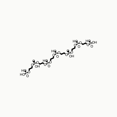 O=P(O)(O)OCCOP(=O)(O)OCCOP(=O)(O)OCCOP(=O)(O)OCCOP(=O)(O)OCCOP(=O)(O)OCCOP(=O)(O)O